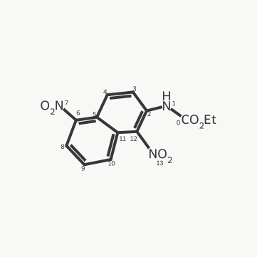 CCOC(=O)Nc1ccc2c([N+](=O)[O-])cccc2c1[N+](=O)[O-]